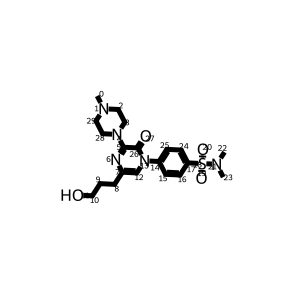 CN1CCN(c2nc(CCCO)cn(-c3ccc(S(=O)(=O)N(C)C)cc3)c2=O)CC1